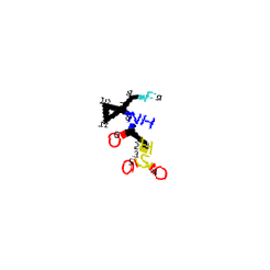 O=C(C[SH](=O)=O)NC1(CF)CC1